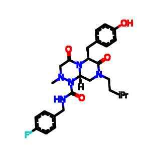 CC(C)CCN1C[C@H]2N(C(=O)CN(C)N2C(=O)NCc2ccc(F)cc2)[C@@H](Cc2ccc(O)cc2)C1=O